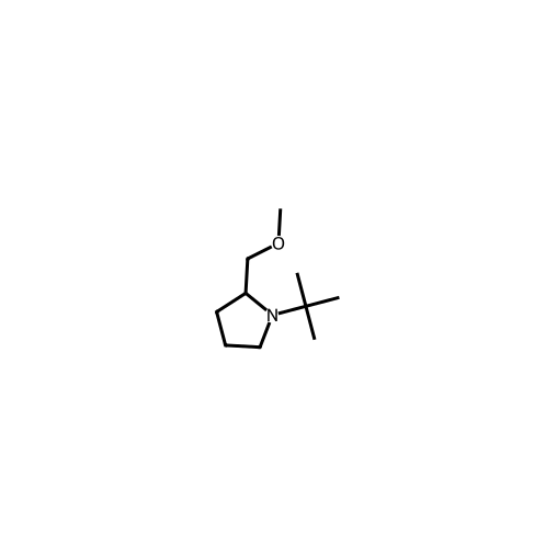 COCC1CCCN1C(C)(C)C